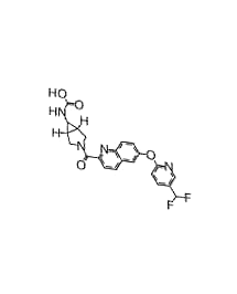 O=C(O)N[C@H]1[C@@H]2CN(C(=O)c3ccc4cc(Oc5ccc(C(F)F)cn5)ccc4n3)C[C@@H]21